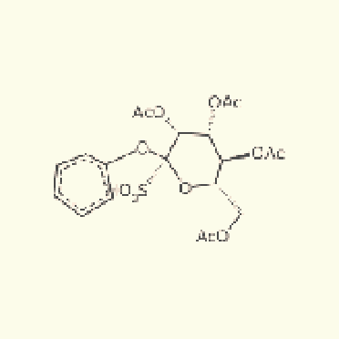 CC(=O)OC[C@@H]1O[C@](Oc2ccccc2)(S(=O)(=O)O)[C@H](OC(C)=O)[C@H](OC(C)=O)[C@H]1OC(C)=O